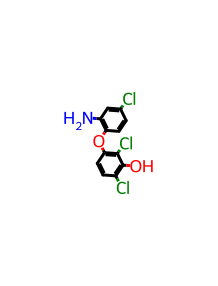 Nc1cc(Cl)ccc1Oc1ccc(Cl)c(O)c1Cl